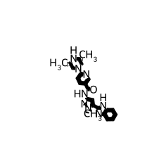 C[C@H]1CN(c2ccc(C(=O)Nc3cc(-c4nc5ccccc5[nH]4)n(C)n3)cn2)C[C@H](C)N1